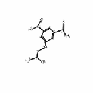 CC(C)CNc1cc(B(O)O)cc(C(N)=O)c1